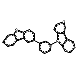 c1cc(-c2ccc3oc4ccccc4c3c2)cc(-n2c3ccncc3c3cnccc32)c1